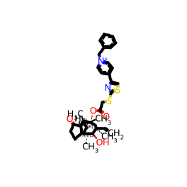 C=C[C@]1(C)C[C@@H](OC(=O)CSc2nc(-c3cc[n+](Cc4ccccc4)cc3)cs2)[C@]2(C)[C@H](C)CC[C@]3(CCC(=O)[C@H]32)[C@@H](C)[C@@H]1O